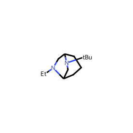 CCN1CC2CCCC1CN2C(C)(C)C